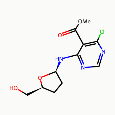 COC(=O)c1c(Cl)ncnc1N[C@H]1CC[C@@H](CO)O1